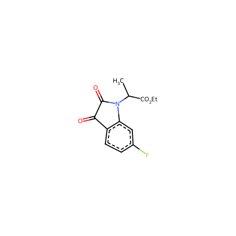 CCOC(=O)C(C)N1C(=O)C(=O)c2ccc(F)cc21